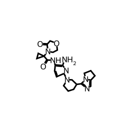 Nc1nc(N2CCCC(c3ncc4n3CCC4)C2)ccc1NC(=O)C1(N2CCOCC2=O)CC1